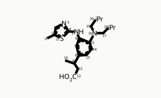 Cc1cnc(Nc2cc(C(C)CC(=O)O)ccc2N(CC(C)C)CC(C)C)s1